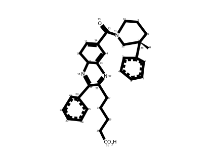 C[C@]1(c2ccccc2)CCCN(C(=O)C2=CCC3N=C(c4ccccc4)C(CCCCC(=O)O)=NC3=C2)C1